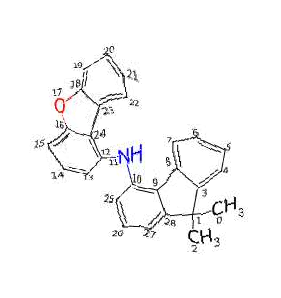 CC1(C)c2ccccc2-c2c(Nc3cccc4oc5ccccc5c34)cccc21